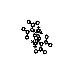 CC(C)(C)c1cc(N(c2cc(-c3cc(C4CCCCC4)cc(C4CCCCC4)c3)cc(-c3cc(C4CCCCC4)cc(C4CCCCC4)c3)c2)c2ccc3ccc4c(N(c5cc(-c6cc(C7CCCCC7)cc(C7CCCCC7)c6)cc(-c6cc(C7CCCCC7)cc(C7CCCCC7)c6)c5)c5cc(C(C)(C)C)cc(C(C)(C)C)c5)ccc5ccc2c3c54)cc(C(C)(C)C)c1